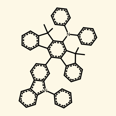 CC1(C)c2ccccc2-c2c(-c3ccc4c5ccccc5n(-c5ccccc5)c4c3)c3c(c(N(c4ccccc4)c4ccccc4)c21)C(C)(C)c1ccccc1-3